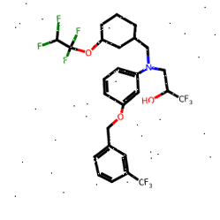 OC(CN(CC1CCCC(OC(F)(F)C(F)F)C1)c1cccc(OCc2cccc(C(F)(F)F)c2)c1)C(F)(F)F